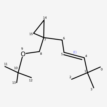 CC(C)(C)/C=C/CC1(COC(C)(C)C)CC1